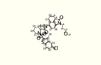 COCCCN1C(=O)c2cccc3c(NC(=O)C4CCCCN4S(=O)(=O)c4sc5ccc(Cl)cc5c4C)ccc1c23